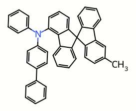 Cc1ccc2c(c1)-c1ccccc1C21c2ccccc2-c2c(N(c3ccccc3)c3ccc(-c4ccccc4)cc3)cccc21